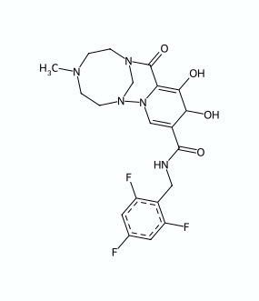 CN1CCN2CN(CC1)N1C=C(C(=O)NCc3c(F)cc(F)cc3F)C(O)C(O)=C1C2=O